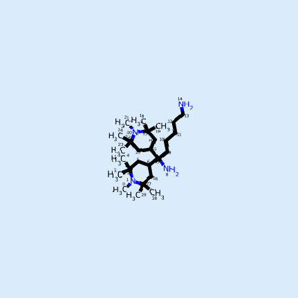 CN1C(C)(C)CC(C(N)(CCCCCN)C2CC(C)(C)N(C)C(C)(C)C2)CC1(C)C